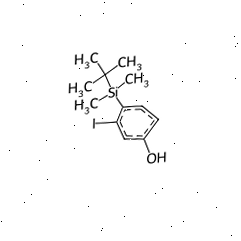 CC(C)(C)[Si](C)(C)c1ccc(O)cc1I